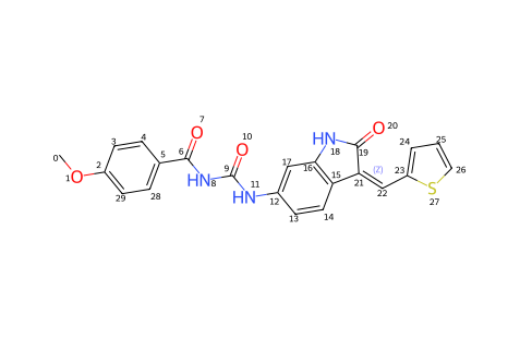 COc1ccc(C(=O)NC(=O)Nc2ccc3c(c2)NC(=O)/C3=C\c2cccs2)cc1